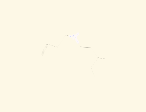 C=CCCN(C)CCC(C)CCl